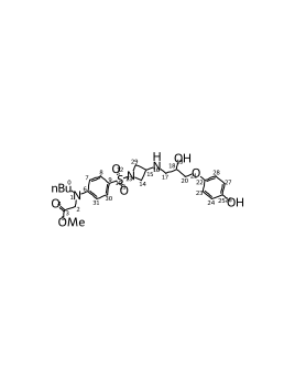 CCCCN(CC(=O)OC)c1ccc(S(=O)(=O)N2CC(NCC(O)COc3ccc(O)cc3)C2)cc1